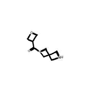 O=C(C1COC1)N1CC2(CNC2)C1